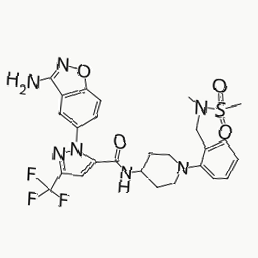 CN(Cc1ccccc1N1CCC(NC(=O)c2cc(C(F)(F)F)nn2-c2ccc3onc(N)c3c2)CC1)S(C)(=O)=O